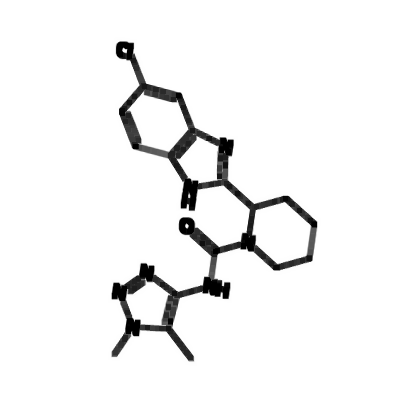 Cc1c(NC(=O)N2CCCCC2c2nc3cc(Cl)ccc3[nH]2)nnn1C